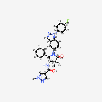 Cn1cc(C(=O)N[C@@H]2[C@@H](c3ccccc3)N(c3ccc4c(cnn4-c4ccc(F)cc4)c3)C(=O)C2(C)C)cn1